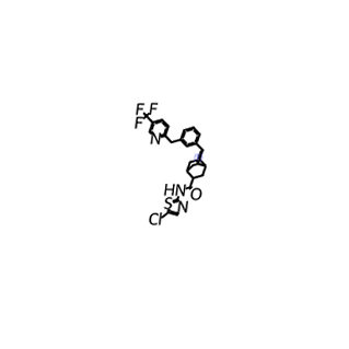 O=C(Nc1ncc(Cl)s1)C1CC2CCC1C/C2=C\c1cccc(Cc2ccc(C(F)(F)F)cn2)c1